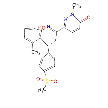 Cc1ccccc1[C@H](C/C(=N\O)c1ccc(=O)n(C)n1)c1ccc(S(C)(=O)=O)cc1